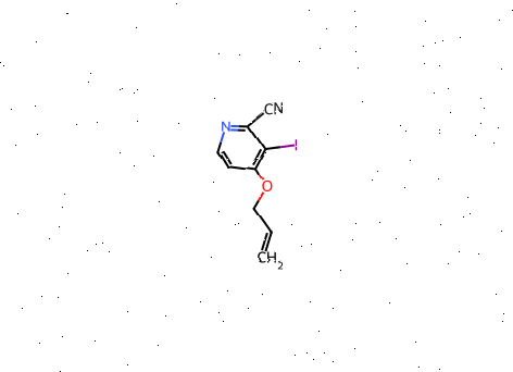 C=CCOc1ccnc(C#N)c1I